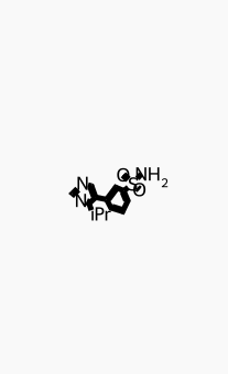 CC(C)c1ncncc1-c1cccc(S(N)(=O)=O)c1